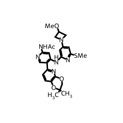 COC1CN(c2cc(Nc3cc(NC(C)=O)ncc3-c3ccc4c(n3)OCC(C)(C)O4)nc(SC)c2)C1